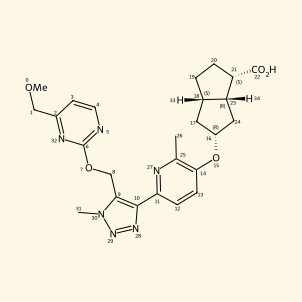 COCc1ccnc(OCc2c(-c3ccc(O[C@@H]4C[C@@H]5CC[C@H](C(=O)O)[C@@H]5C4)c(C)n3)nnn2C)n1